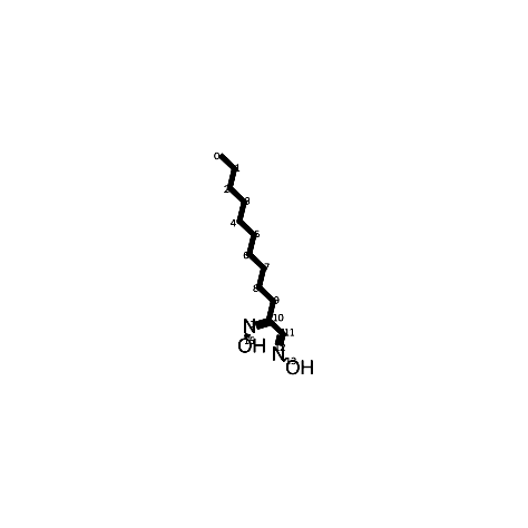 CCCCCCCCCCC([C]=NO)=NO